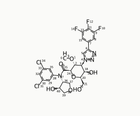 CO[C@@H]1[C@@H](n2cc(-c3cc(F)c(F)c(F)c3)nn2)[C@@H](O)[C@@H](CO)O[C@H]1C(=O)N(c1cc(Cl)cc(Cl)c1)[C@@H]1COC[C@H]1O